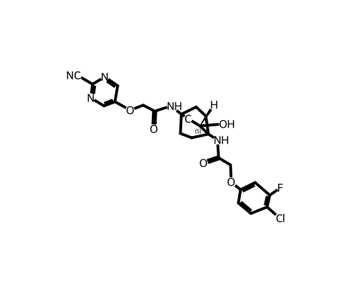 N#Cc1ncc(OCC(=O)NC23CCC(NC(=O)COc4ccc(Cl)c(F)c4)(CC2)[C@@H](O)C3)cn1